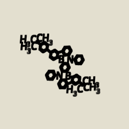 CC(C)(C)c1ccc(-c2ccc3c(c2)-c2cccc4c2B3c2cc3c(cc2N4c2ccccc2)B2c4ccc(C(C)(C)C)cc4-c4cccc(c42)N3c2ccccc2)cc1